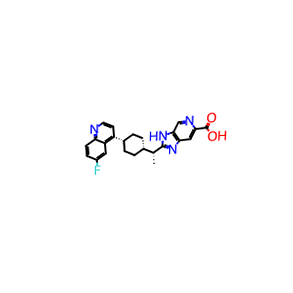 C[C@@H](c1nc2cc(C(=O)O)ncc2[nH]1)[C@H]1CC[C@@H](c2ccnc3ccc(F)cc32)CC1